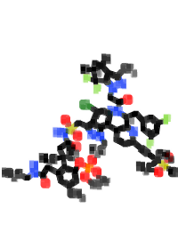 Cc1cc(CC(=O)NCC(=O)O)c(C(C)(C)CC(=O)NS(=O)(=O)Cc2nn(CC(F)(F)F)c3c(-c4ccc(C#CC(C)(C)S(C)(=O)=O)nc4[C@H](Cc4cc(F)cc(F)c4)NC(=O)Cn4nc(C(F)(F)F)c5c4C(F)(F)[C@@H]4C[C@H]54)ccc(Cl)c23)c(OP(=O)(OC(C)C)OC(C)C)c1